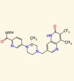 CNC(=O)c1ccc(N2CCN(Cc3cnc4c(C)c(C(F)(F)F)c(=O)[nH]c4c3)C[C@H]2C)cn1